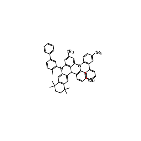 Cc1ccc(-c2ccccc2)cc1N1c2cc3c(cc2C2c4ccc(C(C)(C)C)cc4N(c4ccc(C(C)(C)C)cc4-c4ccccc4)c4cc(C(C)(C)C)cc1c42)C(C)(C)CCC3(C)C